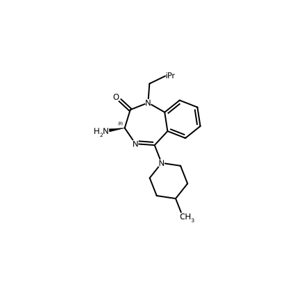 CC(C)CN1C(=O)[C@H](N)N=C(N2CCC(C)CC2)c2ccccc21